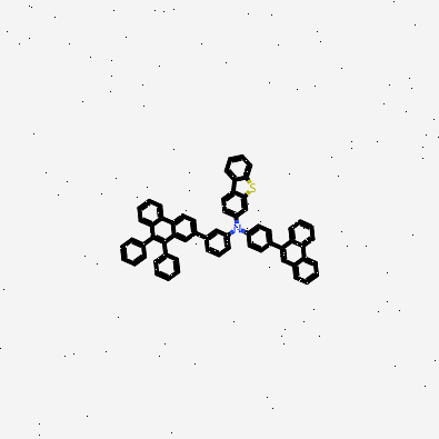 c1ccc(-c2c(-c3ccccc3)c3cc(-c4cccc(N(c5ccc(-c6cc7ccccc7c7ccccc67)cc5)c5ccc6c(c5)sc5ccccc56)c4)ccc3c3ccccc23)cc1